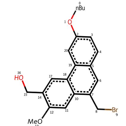 CCCCOc1ccc2cc(CBr)c3cc(OC)c(CO)cc3c2c1